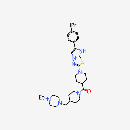 CCN1CCN(CC2CCN(C(=O)C3CCN(C4=NN5C=C(c6ccc(C(C)C)cc6)NC5S4)CC3)CC2)CC1